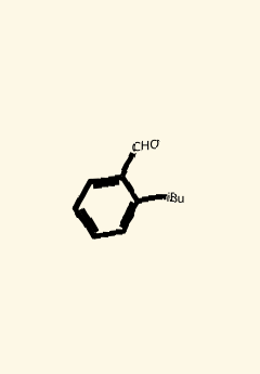 CCC(C)c1ccccc1C=O